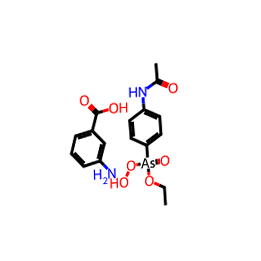 CCO[As](=O)(OO)c1ccc(NC(C)=O)cc1.Nc1cccc(C(=O)O)c1